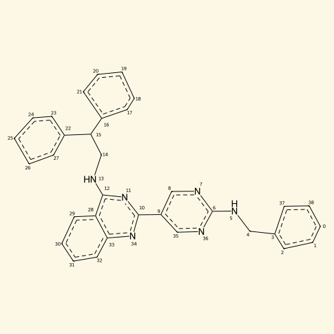 c1ccc(CNc2ncc(-c3nc(NCC(c4ccccc4)c4ccccc4)c4ccccc4n3)cn2)cc1